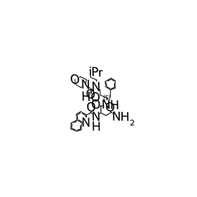 CC(C)CCN(CC(O)[C@H](Cc1ccccc1)NC(=O)C(CC(N)=O)NC(=O)c1ccc2ccccc2n1)C(=O)N1CCOCC1